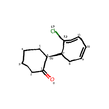 O=C1CCCC[C@H]1C1CC=CC=C1Cl